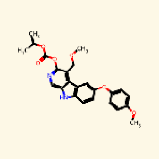 COCc1c(OC(=O)OC(C)C)ncc2[nH]c3ccc(Oc4ccc(OC)cc4)cc3c12